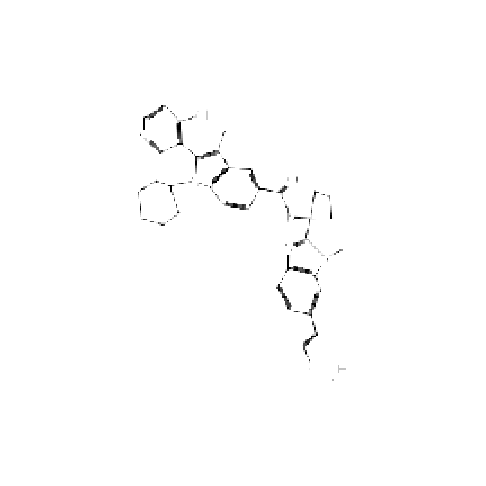 Cc1c(-c2cnccc2Cl)n(C2CCCCC2)c2ccc(C(=O)NC3(c4nc5ccc(/C=C/C(=O)O)cc5n4C)CCC3)cc12